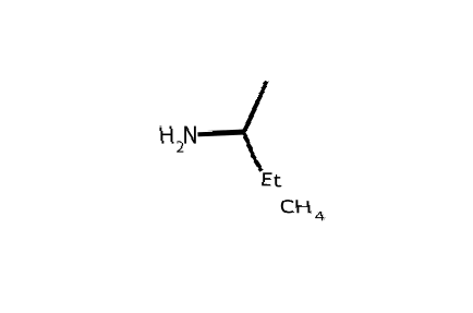 C.CCC(C)N